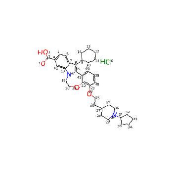 Cl.O=C(O)c1ccc2c(C3CCCCC3)c3n(c2c1)CCOc1c(OCCC2CCN(C4CCCC4)CC2)cccc1-3